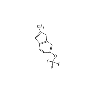 CC1=Cc2ccc(OC(F)(F)F)cc2C1